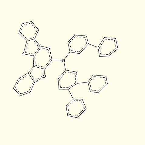 c1ccc(-c2cccc(N(c3ccc(-c4ccccc4)c(-c4ccccc4)c3)c3cc4c5ccccc5sc4c4c3oc3ccccc34)c2)cc1